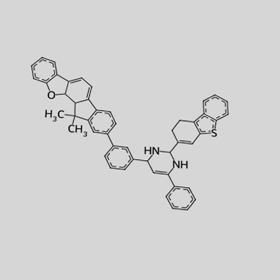 CC1(C)c2cc(-c3cccc(C4C=C(c5ccccc5)NC(C5=Cc6sc7ccccc7c6CC5)N4)c3)ccc2C2=CC=C3c4ccccc4OC3C21